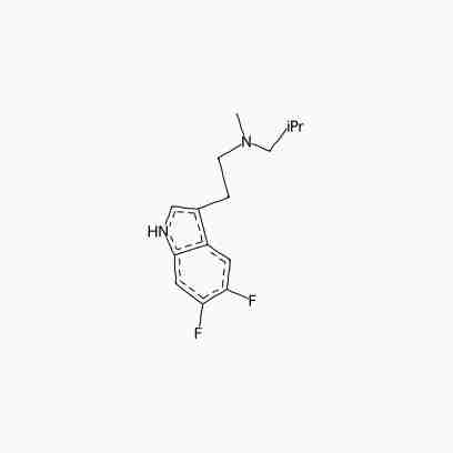 CC(C)CN(C)CCc1c[nH]c2cc(F)c(F)cc12